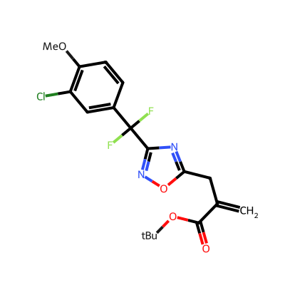 C=C(Cc1nc(C(F)(F)c2ccc(OC)c(Cl)c2)no1)C(=O)OC(C)(C)C